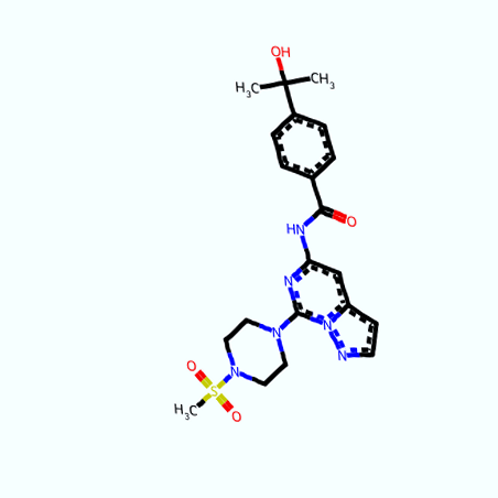 CC(C)(O)c1ccc(C(=O)Nc2cc3ccnn3c(N3CCN(S(C)(=O)=O)CC3)n2)cc1